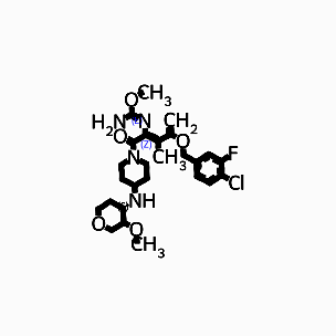 C=C(OCc1ccc(Cl)c(F)c1)/C(C)=C(\N=C(/N)OC)C(=O)N1CCC(N[C@H]2CCOCC2OC)CC1